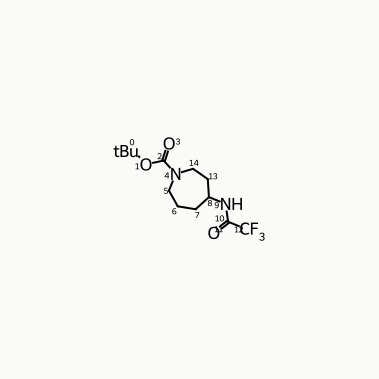 CC(C)(C)OC(=O)N1CCCC(NC(=O)C(F)(F)F)CC1